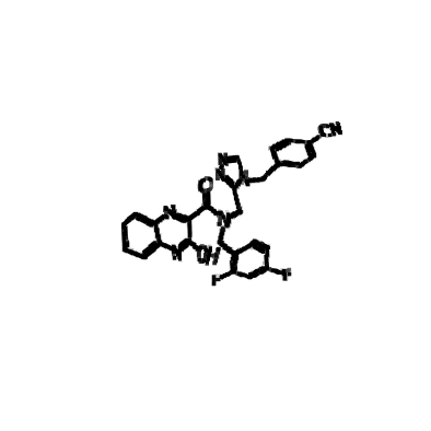 N#Cc1ccc(Cn2cnnc2CN(Cc2ccc(F)cc2F)C(=O)c2nc3ccccc3nc2O)cc1